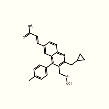 Cc1ccc(-c2c(CNC(=O)O)c(CC3CC3)nc3ccc(/C=C/C(N)=O)cc23)cc1